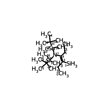 CCC([SiH3])=C(CC)N([Si](C)(C)C(C)(C)C)[Si](C)(C)C(C)(C)C